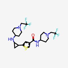 O=C(NC1CCN(CC(F)(F)F)CC1)c1csc(C2CC2NC2CCN(CC(F)(F)F)CC2)c1